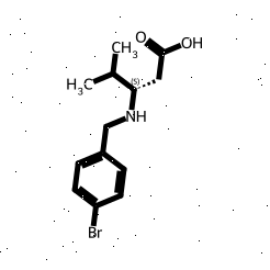 CC(C)[C@H](CC(=O)O)NCc1ccc(Br)cc1